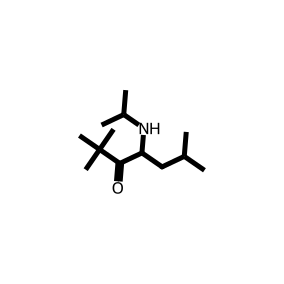 CC(C)CC(NC(C)C)C(=O)C(C)(C)C